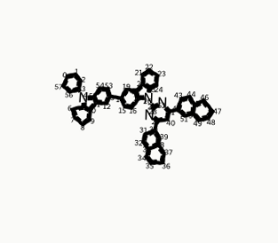 c1ccc(-n2c3ccccc3c3cc(-c4ccc5c(c4)c4ccccc4n5-c4nc(-c5ccc6ccccc6c5)cc(-c5ccc6ccccc6c5)n4)ccc32)cc1